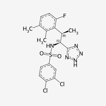 Cc1ccc(F)c([C@@H](C)[C@H](NS(=O)(=O)c2ccc(Cl)c(Cl)c2)c2nn[nH]n2)c1C